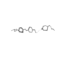 CCCC[C@H]1CC[C@H](CCC2CC=C(CCc3ccc(OCC)cc3)CC2)CC1